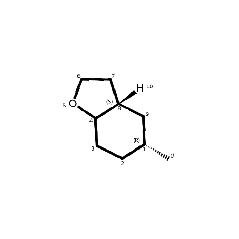 C[C@@H]1CCC2OCC[C@@H]2C1